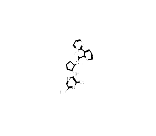 CCc1nc(C(F)(F)F)cnc1N[C@H]1CCCC1NC(=O)c1ncccc1-c1ncccn1